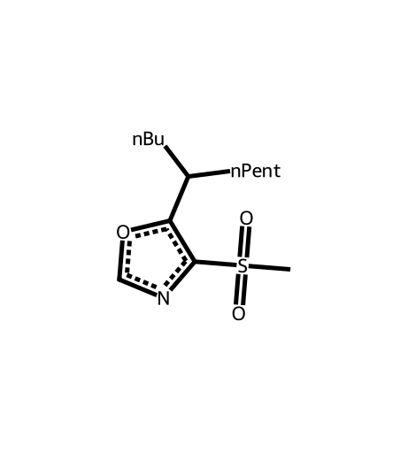 CCCCCC(CCCC)c1ocnc1S(C)(=O)=O